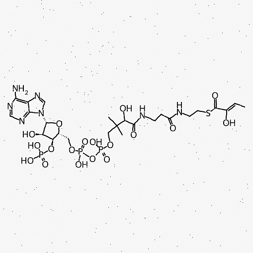 C/C=C(\O)C(=O)SCCNC(=O)CCNC(=O)C(O)C(C)(C)COP(=O)(O)OP(=O)(O)OC[C@H]1O[C@@H](n2cnc3c(N)ncnc32)[C@H](O)[C@@H]1OP(=O)(O)O